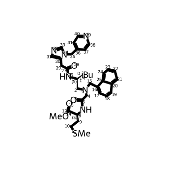 CC[C@H](C)[C@@H](CN(CC(=O)N[C@@H](CCSC)C(=O)OC)Cc1cccc2ccccc12)NC(=O)Cc1cncn1Cc1ccncc1